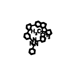 CC1(C)c2ccccc2-c2ccc3ccc(-c4cccc(-c5cccc(-c6nc(-c7ccccc7)nc(-c7ccccc7)n6)c5)c4)cc3c21